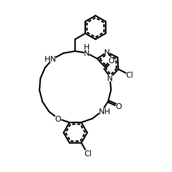 O=C1Cn2c(Cl)cnc(c2=O)NC(Cc2ccccc2)CNCCCCCOc2ccc(Cl)cc2CN1